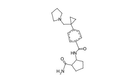 NC(=O)C1CCCC1NC(=O)c1ccc(C2(CN3CCCC3)CC2)cc1